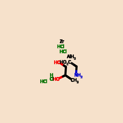 CC(O)CO.Cl.Cl.Cl.Cl.NCC(=O)O.[AlH3].[Zr]